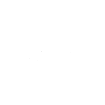 Cc1ccc(CSc2nc3cscc3n2CO)nc1